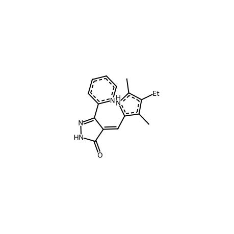 CCc1c(C)[nH]c(/C=C2/C(=O)NN=C2c2ccccn2)c1C